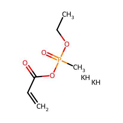 C=CC(=O)OP(C)(=O)OCC.[KH].[KH]